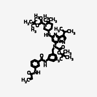 C=CC(=O)Nc1cccc(C(=O)Nc2cccc(CN(C(=O)OC(C)(C)C)c3cc(NC4CCC(C)(C)N(C(=O)OC(C)(C)C)C4)nc4c(C(C)C)cnn34)c2)c1